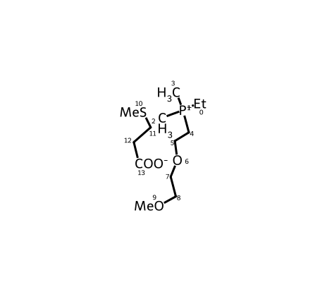 CC[P+](C)(C)CCOCCOC.CSCCC(=O)[O-]